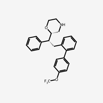 FC(F)(F)Oc1ccc(-c2ccccc2C[C@H](c2ccccc2)[C@H]2CNCCO2)cc1